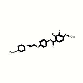 CCCCCCCCOc1ccc(C(=O)Oc2ccc(OCC=C[C@H]3CC[C@H](CCCCC)CC3)cc2)c(F)c1F